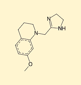 COc1ccc2c(c1)N(CC1=NCCN1)CCC2